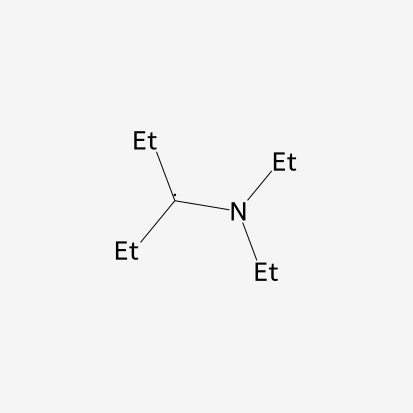 CC[C](CC)N(CC)CC